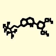 Cc1cc(C)cc(-c2ccc3ccc(CCC(C(F)(F)F)C(F)(F)F)cc3n2)c1